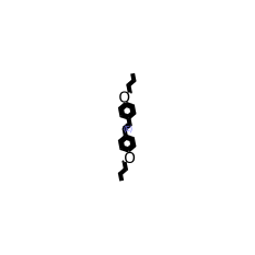 CCCCOc1ccc(/C=C/c2ccc(OCCCC)cc2)cc1